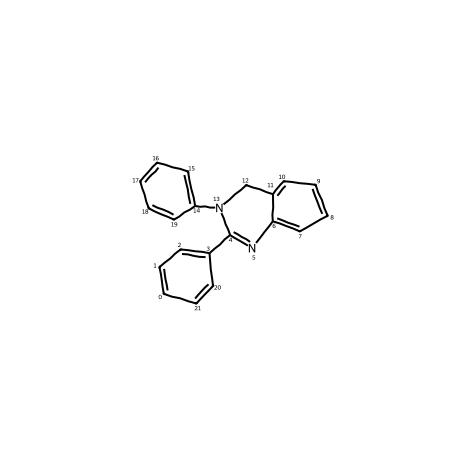 c1ccc(C2=Nc3ccccc3CN2c2ccccc2)cc1